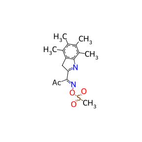 CC(=O)/C(=N\OS(C)(=O)=O)C1=Nc2c(C)c(C)c(C)c(C)c2C1